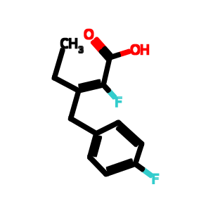 CCC(Cc1ccc(F)cc1)=C(F)C(=O)O